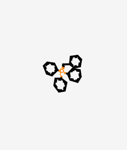 C(c1ccccc1)=P(c1ccccc1)(c1ccccc1)c1ccccc1